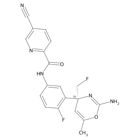 CC1=C[C@@](CF)(c2cc(NC(=O)c3ccc(C#N)cn3)ccc2F)N=C(N)O1